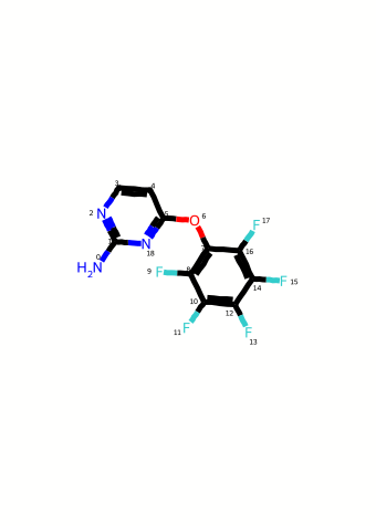 Nc1nccc(Oc2c(F)c(F)c(F)c(F)c2F)n1